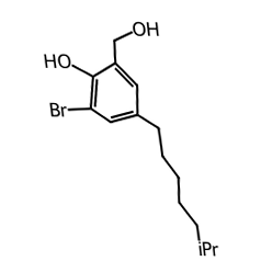 CC(C)CCCCCc1cc(Br)c(O)c(CO)c1